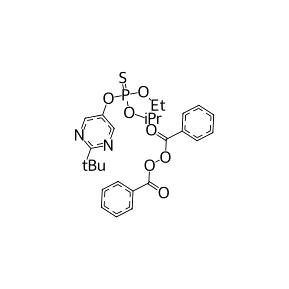 CCOP(=S)(Oc1cnc(C(C)(C)C)nc1)OC(C)C.O=C(OOC(=O)c1ccccc1)c1ccccc1